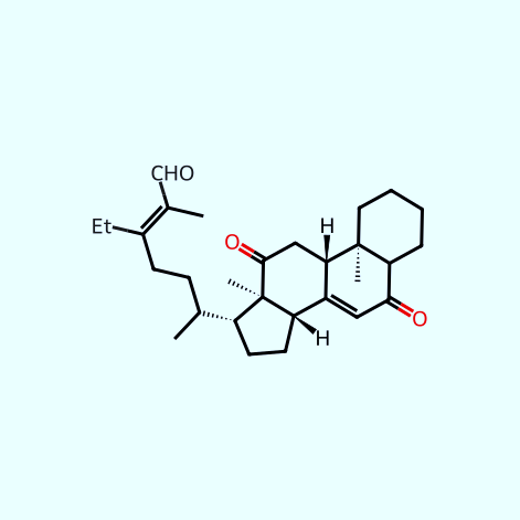 CCC(CCC(C)[C@H]1CC[C@H]2C3=CC(=O)C4CCCC[C@]4(C)[C@H]3CC(=O)[C@]12C)=C(C)C=O